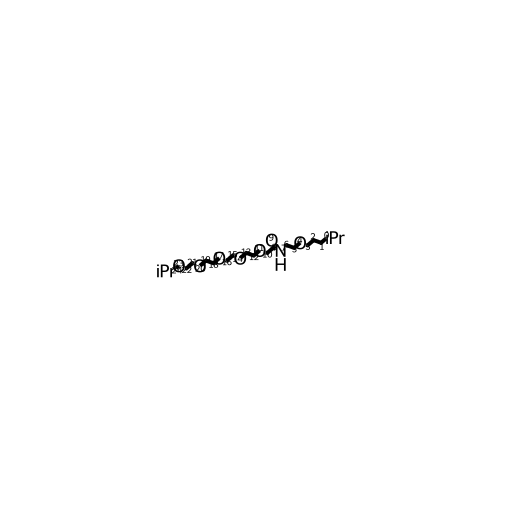 CC(C)CCCOCCNC(=O)COCCOCCOCCOCCOC(C)C